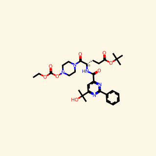 CCOC(=O)ON1CCN(C(=O)[C@H](CCC(=O)OC(C)(C)C)NC(=O)c2cc(C(C)(C)O)nc(-c3ccccc3)n2)CC1